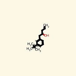 C=CCC(O)Cc1cccc(C(C)(C)C)c1